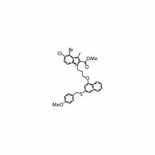 COC(=O)c1c(C)c2c(Br)c(Cl)ccc2n1CCCOc1cc(SCc2ccc(OC)cc2)cc2ccccc12